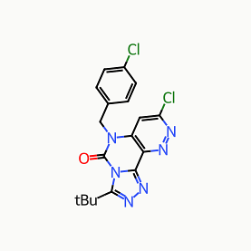 CC(C)(C)c1nnc2c3nnc(Cl)cc3n(Cc3ccc(Cl)cc3)c(=O)n12